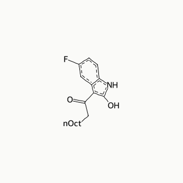 CCCCCCCCCC(=O)c1c(O)[nH]c2ccc(F)cc12